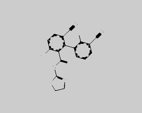 N#Cc1cccc(-c2c(C#N)ccc(O)c2C(=O)NC2=NCCN2)c1F